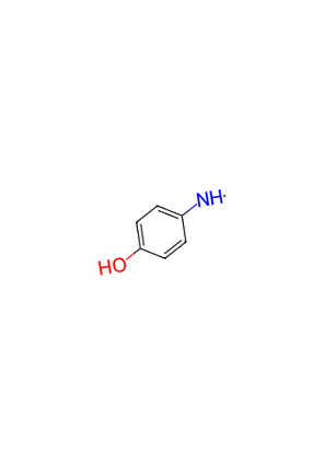 [NH]c1ccc(O)cc1